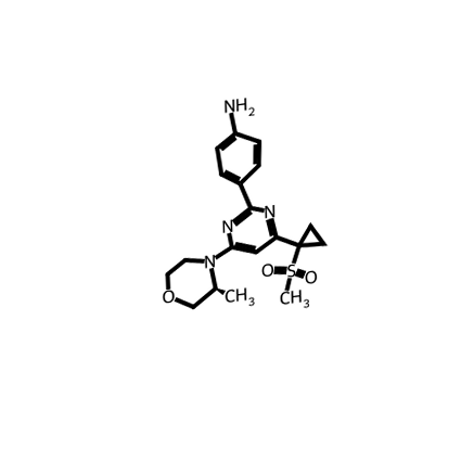 C[C@H]1COCCN1c1cc(C2(S(C)(=O)=O)CC2)nc(-c2ccc(N)cc2)n1